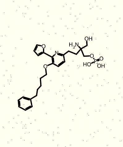 NC(CO)(CCc1ccc(OCCCCCc2ccccc2)c(-c2ccco2)n1)COP(=O)(O)O